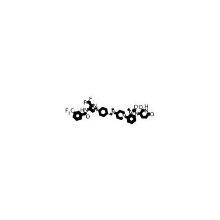 CN(C[C@H]1CC[C@H](n2cc(NC(=O)c3cccc(C(F)(F)F)c3)c(C(F)F)n2)CC1)C1CCN(c2cccc3c2n(C)c(=O)n3C2CCC(=O)NC2=O)CC1